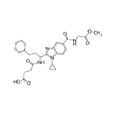 COC(=O)CNC(=O)c1ccc2c(c1)nc(C(CCc1ccccc1)NC(=O)CCC(=O)O)n2C1CC1